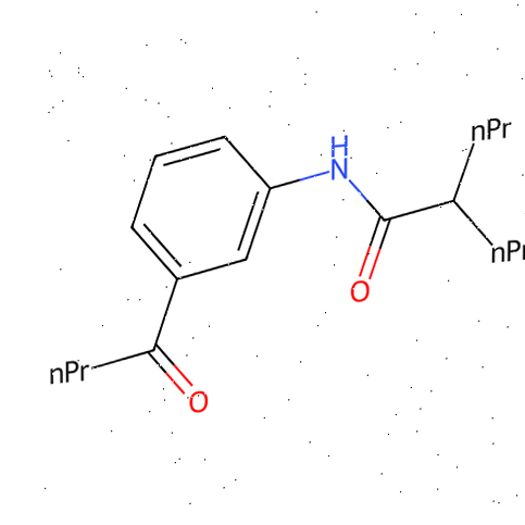 CCCC(=O)c1cccc(NC(=O)C(CCC)CCC)c1